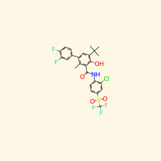 Cc1c(-c2ccc(F)c(F)c2)cc(C(C)(C)C)c(O)c1C(=O)Nc1ccc(S(=O)(=O)C(F)(F)F)cc1Cl